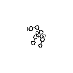 c1ccc(-c2ccc3c(c2)B2c4cc(-c5ccccc5)ccc4Oc4c(-c5cccc(-c6ccncc6)c5)ccc(c42)O3)cc1